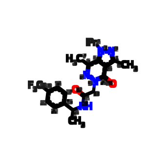 Cc1nn(C(C)C)c2c(C)nn(CC(=O)NC(C)c3ccc(C(F)(F)F)cc3)c(=O)c12